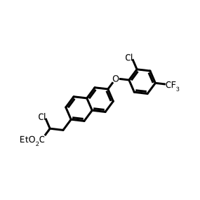 CCOC(=O)C(Cl)Cc1ccc2cc(Oc3ccc(C(F)(F)F)cc3Cl)ccc2c1